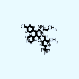 CCc1nnc2c(-c3ccc(Cl)cc3)c(-c3ccncc3)c(=O)n(Cc3ccc(C(F)(F)F)nc3C)n12